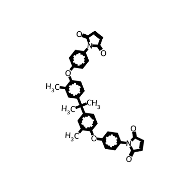 Cc1cc(C(C)(C)c2ccc(Oc3ccc(N4C(=O)C=CC4=O)cc3)c(C)c2)ccc1Oc1ccc(N2C(=O)C=CC2=O)cc1